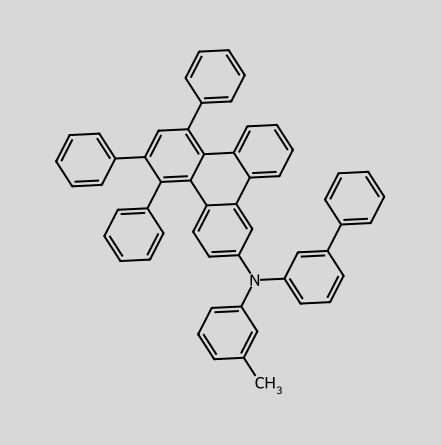 Cc1cccc(N(c2cccc(-c3ccccc3)c2)c2ccc3c(c2)c2ccccc2c2c(-c4ccccc4)cc(-c4ccccc4)c(-c4ccccc4)c32)c1